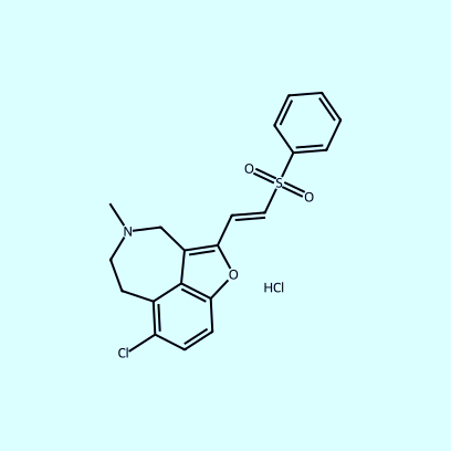 CN1CCc2c(Cl)ccc3oc(/C=C/S(=O)(=O)c4ccccc4)c(c23)C1.Cl